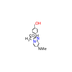 CC(=O)O.CNc1ccn2cc(-c3ccc(CO)cc3)nc2c1